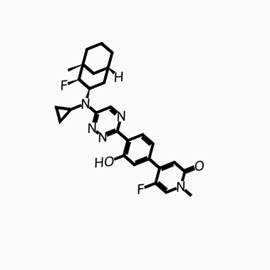 Cn1cc(F)c(-c2ccc(-c3ncc(N(C4CC4)[C@@H]4C[C@H]5CCC[C@](C)(C5)[C@@H]4F)nn3)c(O)c2)cc1=O